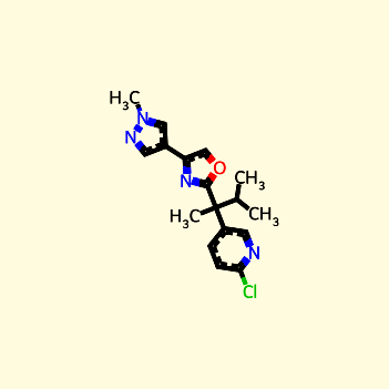 CC(C)C(C)(c1ccc(Cl)nc1)c1nc(-c2cnn(C)c2)co1